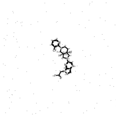 FC(F)Cn1ncc2ncc(N3C[C@H]4CCN(c5ncccc5C(F)(F)F)C[C@H]4C3)nc21